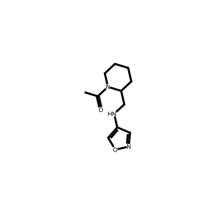 CC(=O)N1CCCCC1CNc1cnoc1